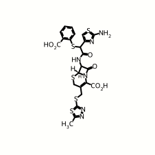 Cc1nnc(SCC2=C(C(=O)O)N3C(=O)C(NC(=O)C(Sc4ccccc4C(=O)O)c4csc(N)n4)[C@H]3SC2)s1